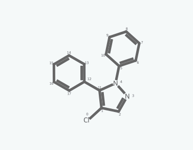 Clc1cnn(-c2ccccc2)c1-c1ccccc1